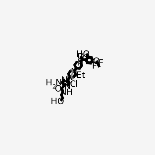 CC[C@H]1CN(c2nc(N)c(C(=O)NCCO)nc2Cl)CCN1C1CCN(C(=O)c2ccc(OC(C)(F)F)cc2O)CC1